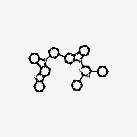 c1ccc(-c2cc(-n3c4ccccc4c4cc(-c5cccc(-n6c7ccccc7c7c8oc9ccccc9c8ccc76)c5)ccc43)nc(-c3ccccc3)n2)cc1